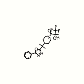 CC(C)(c1nnc(-c2ccccc2)o1)C1CCN(C(=O)C(C)(O)C(F)(F)F)CC1